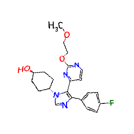 COCCOc1nccc(-c2c(-c3ccc(F)cc3)ncn2[C@H]2CC[C@H](O)CC2)n1